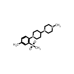 Cc1ccc(N2CCC(N3CCN(C)CC3)CC2)c(S(C)(=O)=O)c1